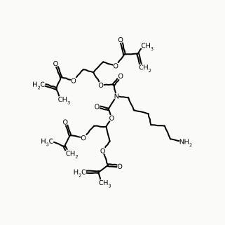 C=C(C)C(=O)OCC(COC(=O)C(=C)C)OC(=O)N(CCCCCCN)C(=O)OC(COC(=O)C(=C)C)COC(=O)C(=C)C